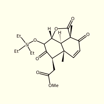 CC[Si](CC)(CC)OC1C(=O)[C@H](CC(=O)OC)[C@@]2(C)C=CC(=O)[C@@]3(C)C(=O)O[C@@H]1[C@@H]32